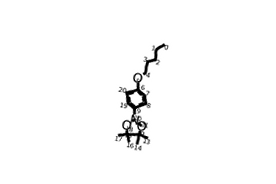 CCCCCOc1ccc(N2OC(C)(C)C(C)(C)O2)cc1